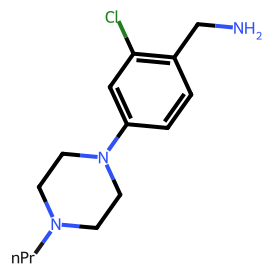 C[CH]CN1CCN(c2ccc(CN)c(Cl)c2)CC1